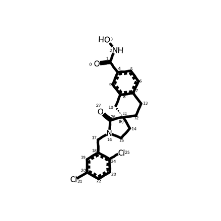 O=C(NO)c1ccc2c(c1)C[C@]1(CC2)CCN(Cc2cc(Cl)ccc2Cl)C1=O